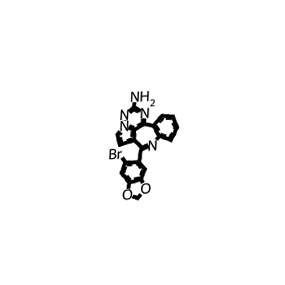 Nc1nc2c3c(ccn3n1)C(c1cc3c(cc1Br)OCO3)=Nc1ccccc1-2